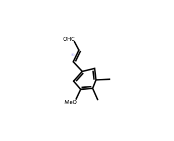 COc1cc(/C=C/C=O)cc(C)c1C